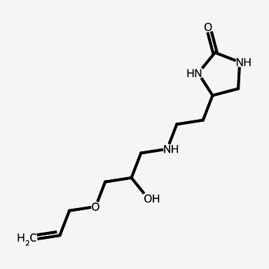 C=CCOCC(O)CNCCC1CNC(=O)N1